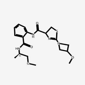 COC[C@@H](C)NC(=O)c1ccccc1NC(=O)C1CSC(N2CC(OC)C2)=N1